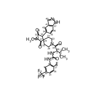 CC(C)[C@@H](NC(=O)Nc1cc(C(F)(F)F)ccc1F)C(=O)N1CCC2(CC1)C(=O)N(C)C(=O)C2c1ccc2[nH]ncc2c1